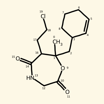 CC1(CC2C=CCCC2)OC(=O)CNC(=O)C1CCCl